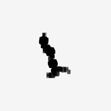 CC#C[C@@H](CC(=O)O)c1ccc(OCc2ccc3cn(Cc4ccc(F)cc4)nc3c2)cc1